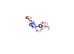 COc1cc(-c2nnc3sc(-c4ccco4)nn23)cc(OC)c1OC